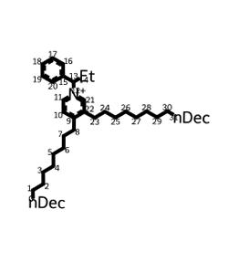 CCCCCCCCCCCCCCCCCCc1cc[n+](C(CC)c2ccccc2)cc1CCCCCCCCCCCCCCCCCC